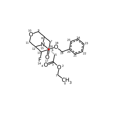 CCOC(=O)C[C@H]1CC2COCC(C1F)N2C(=O)OCc1ccccc1